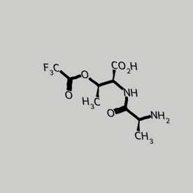 C[C@H](N)C(=O)N[C@H](C(=O)O)[C@@H](C)OC(=O)C(F)(F)F